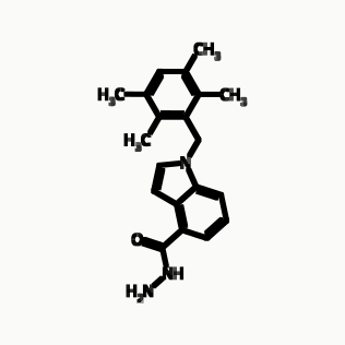 Cc1cc(C)c(C)c(Cn2ccc3c(C(=O)NN)cccc32)c1C